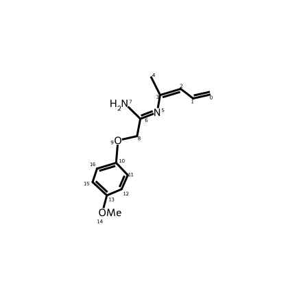 C=C/C=C(C)\N=C(/N)COc1ccc(OC)cc1